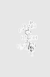 C[C@@]1(C(F)(F)F)CN(C(O)Nc2cnc(C(=O)NC3CC3)c(C(F)F)c2)c2cnc3cc(Cl)nn3c21